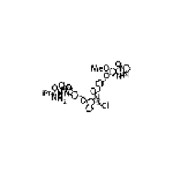 COc1cc2c(cc1OCc1cccc(CC(=O)N3C[C@@H](CCl)c4c3cc(OCc3ccc(NC(=O)[C@H](C)NC(=O)[C@@H](N)C(C)C)cc3)c3ccccc43)c1)N=C[C@@H]1CCCCN1C2=O